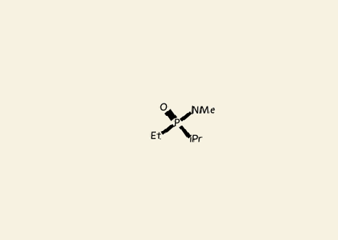 CCP(=O)(NC)C(C)C